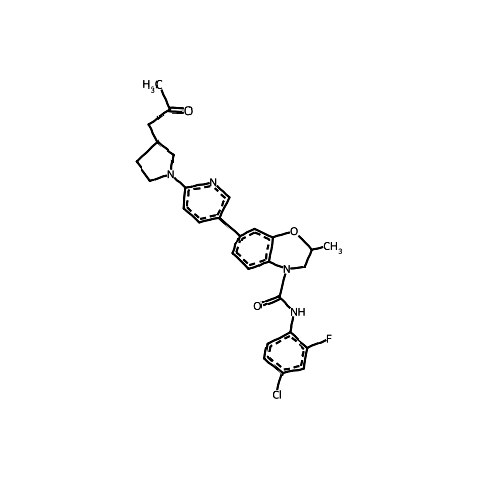 CC(=O)CC1CCN(c2ccc(-c3ccc4c(c3)OC(C)CN4C(=O)Nc3ccc(Cl)cc3F)cn2)C1